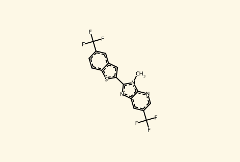 Cn1c(-c2cc3cc(C(F)(F)F)ccc3s2)nc2cc(C(F)(F)F)cnc21